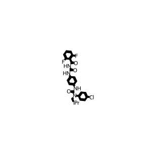 CC(C)CN(C(=O)Nc1ccc(NC(=O)NC(=O)c2c(F)cccc2F)cc1)c1ccc(Cl)cc1